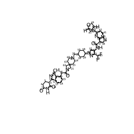 Cn1nc(C2CCC(=O)NC2=O)c2cccc(CC(=O)N3CC4(CCN(CC5CCC(n6cc(NC(=O)c7cnn8ccc(N9C[C@H]%10C[C@@H]9CO%10)nc78)c(C(F)F)n6)CC5)CC4)C3)c21